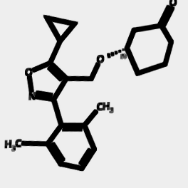 Cc1cccc(C)c1-c1noc(C2CC2)c1CO[C@H]1CCCC(=O)C1